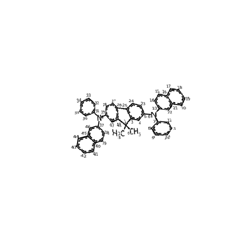 CC1(C)c2cc(N(c3ccccc3)c3ccc4ccccc4c3)ccc2-c2ccc(N(c3ccccc3)c3ccc4ccccc4c3)cc21